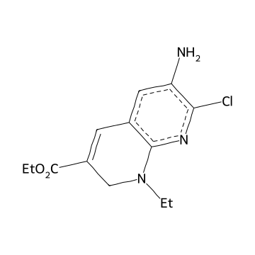 CCOC(=O)C1=Cc2cc(N)c(Cl)nc2N(CC)C1